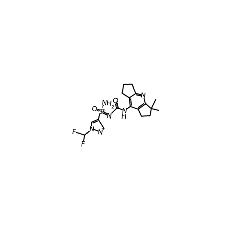 CC1(C)CCc2c1nc1c(c2NC(=O)N=[S@](N)(=O)c2cnn(C(F)F)c2)CCC1